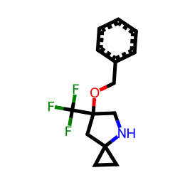 FC(F)(F)C1(OCc2ccccc2)CNC2(CC2)C1